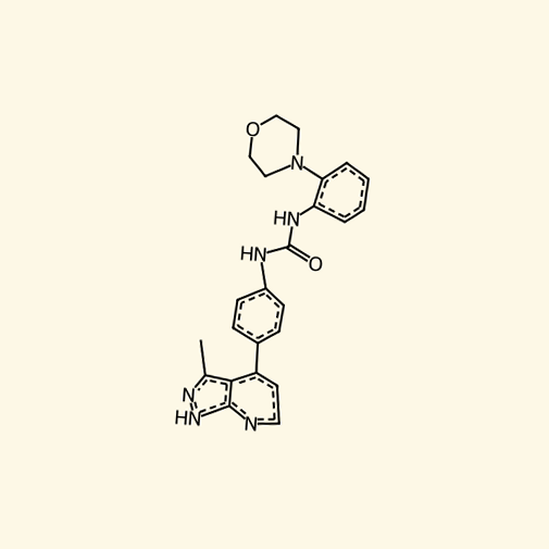 Cc1n[nH]c2nccc(-c3ccc(NC(=O)Nc4ccccc4N4CCOCC4)cc3)c12